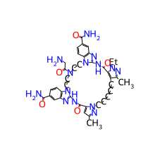 CCn1nc(C)c2c1C(=O)Nc1nc3cc(C(N)=O)ccc3n1CCN(C(=O)CN)CCn1c(nc3cc(C(N)=O)ccc31)NC(=O)c1cc(C)nn1CCCCC2